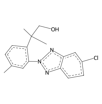 Cc1ccc(C(C)(C)CO)c(-n2nc3ccc(Cl)cc3n2)c1